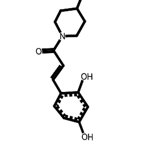 O=C(/C=C/c1ccc(O)cc1O)N1CCC(CO)CC1